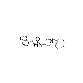 O=C(CCc1cccc2occc12)NC1CCN(C/C2=C/CCCCCC2)CC1